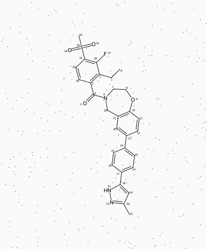 CCc1c(C(=O)N2CCOc3ccc(-c4ccc(-c5cc(C)n[nH]5)cc4)cc3C2)ccc(S(C)(=O)=O)c1F